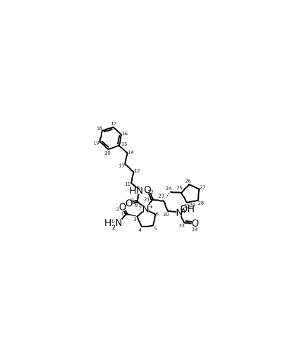 NC(=O)[C@@H]1CCC[N+]1(C(=O)NCCCCc1ccccc1)C(=O)[C@H](CC1CCCC1)CN(O)C=O